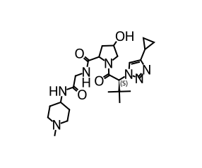 CN1CCC(NC(=O)CNC(=O)C2CC(O)CN2C(=O)[C@@H](n2cc(C3CC3)nn2)C(C)(C)C)CC1